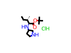 CC[C@H](C)[C@H](NC1CCNC1)C(=O)OC(C)(C)C.Cl